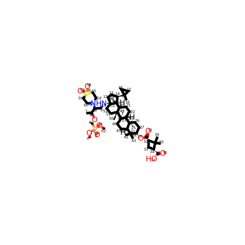 COP(=O)(COC(C)C(CN[C@]12CC[C@@H](C3(C)CC3)[C@@H]1[C@H]1CC[C@@H]3[C@@]4(C)CC[C@H](OC(=O)[C@H]5C[C@@H](C(=O)O)C5(C)C)C(C)(C)[C@@H]4CC[C@@]3(C)[C@]1(C)CC2)N1CCS(=O)(=O)CC1)OC